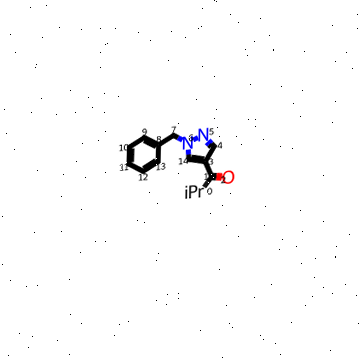 CC(C)C(=O)c1cnn(Cc2ccccc2)c1